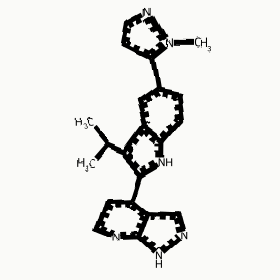 CC(C)c1c(-c2ccnc3[nH]ncc23)[nH]c2ccc(-c3ccnn3C)cc12